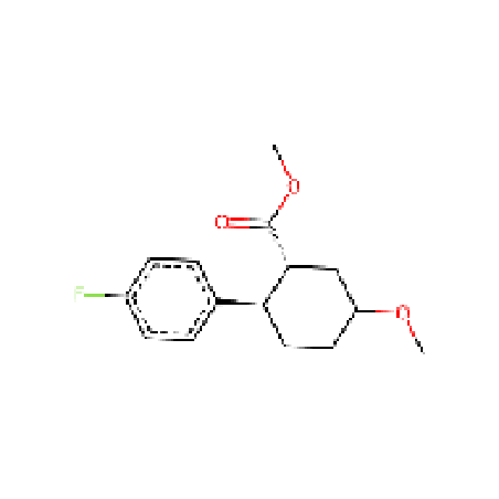 COC(=O)[C@@H]1CC(OC)CC[C@H]1c1ccc(F)cc1